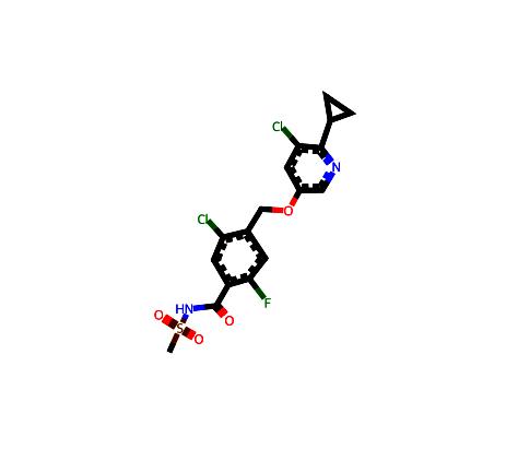 CS(=O)(=O)NC(=O)c1cc(Cl)c(COc2cnc(C3CC3)c(Cl)c2)cc1F